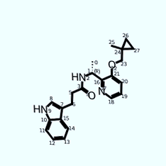 C[C@@H](NC(=O)CCc1c[nH]c2ccccc12)c1ncccc1OCC1(C)CC1